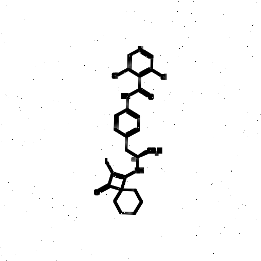 O=C(Nc1ccc(C[C@H](NC2=C(I)C(=O)C23CCCCC3)C(=O)O)cc1)c1c(Cl)cncc1Cl